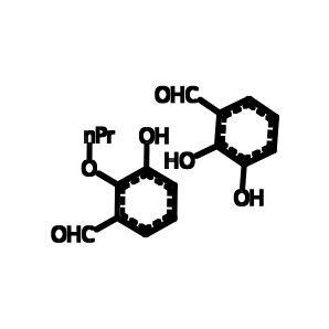 CCCOc1c(O)cccc1C=O.O=Cc1cccc(O)c1O